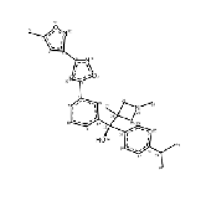 Cc1cc(-c2noc(-c3cccc([C@@](O)(c4ccc(C(C)C)cc4)C4(C)CN(C)C4)c3)n2)no1